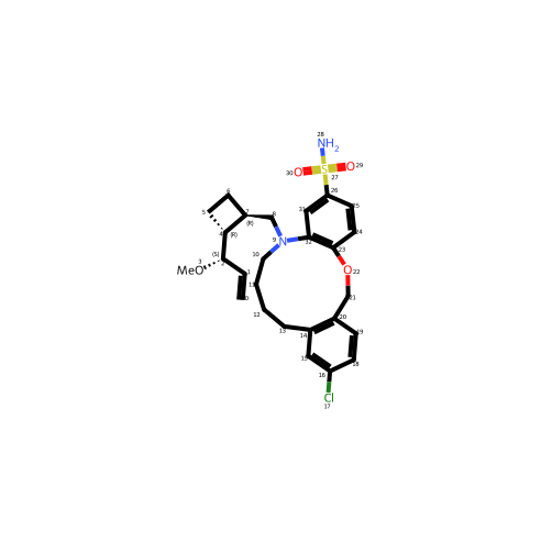 C=C[C@H](OC)[C@@H]1CC[C@H]1CN1CCCCc2cc(Cl)ccc2COc2ccc(S(N)(=O)=O)cc21